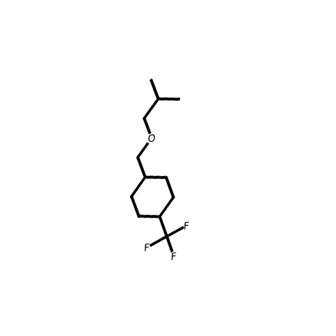 CC(C)COCC1CCC(C(F)(F)F)CC1